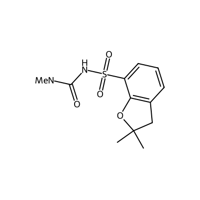 CNC(=O)NS(=O)(=O)c1cccc2c1OC(C)(C)C2